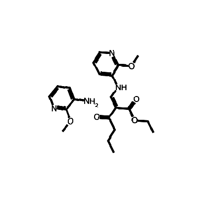 CCCC(=O)C(=CNc1cccnc1OC)C(=O)OCC.COc1ncccc1N